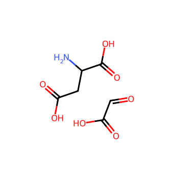 NC(CC(=O)O)C(=O)O.O=CC(=O)O